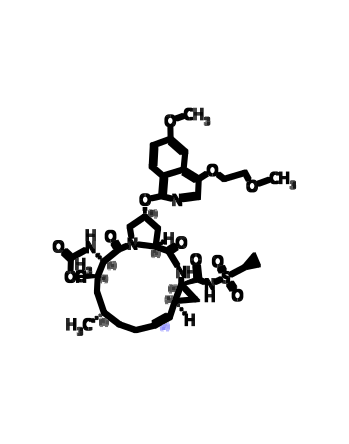 COCCOc1cnc(O[C@@H]2C[C@H]3C(=O)N[C@]4(C(=O)NS(=O)(=O)C5CC5)C[C@H]4/C=C\CC[C@H](C)C[C@@H](C)[C@H](NC(=O)O)C(=O)N3C2)c2ccc(OC)cc12